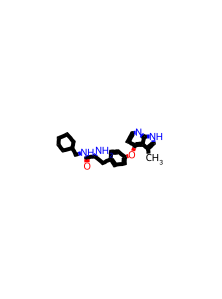 Cc1c[nH]c2nccc(Oc3ccc(CC(N)C(=O)NCC4CCCCC4)cc3)c12